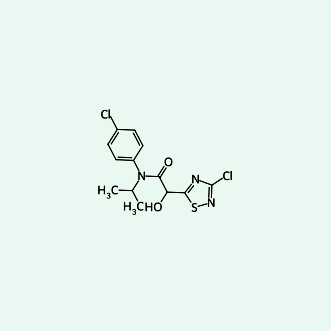 CC(C)N(C(=O)C(O)c1nc(Cl)ns1)c1ccc(Cl)cc1